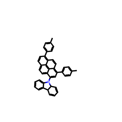 Cc1ccc(-c2ccc3ccc4c(N5c6ccccc6C6C=CC=CC65)cc(-c5ccc(C)cc5)c5ccc2c3c54)cc1